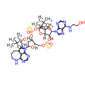 CC(C)(C)[Si](C)(C)CO[C@H]1[C@H]2OP(=O)(S)OC[C@H]3O[C@@H](n4cc5c6c(ncnc64)NCCC5)[C@H](O[Si](C)(C)C(C)(C)C)[C@@H]3OP(=O)(S)OC[C@H]1O[C@H]2n1cnc2c(NCCO)ncnc21